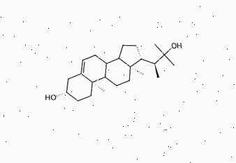 C[C@@H]([C@H]1CCC2C3CC=C4C[C@@H](O)CC[C@]4(C)C3CC[C@@]21C)C(C)(C)O